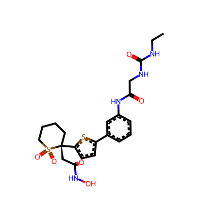 CCNC(=O)NCC(=O)Nc1cccc(-c2ccc([C@@]3(CC(=O)NO)CCCCS3(=O)=O)s2)c1